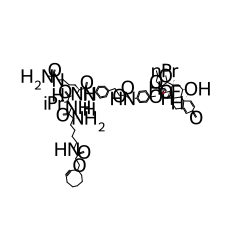 CCCC1O[C@@H]2C[C@H]3[C@@H]4CCC5=CC(=O)C=C[C@]5(C)[C@@]4(F)[C@@H](O)C[C@]3(C)[C@]2(C(=O)COc2ccc(NC(=O)OCc3ccc(NC(=O)[C@H](CCCNC(N)=O)NC(=O)[C@@H](NC(=O)[C@H](N)CCCCNC(=O)COC4C#CCCCCC4)C(C)C)cc3)cc2)O1